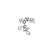 CC(C)(C)CNc1cc(-c2sc(C(=O)NC3CCOCC3)nc2CC2CCCCC2)cc(C(F)(F)F)n1